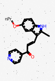 CCCOc1ccc2[nH]c(C)c(C=CC(=O)c3ccncc3)c2c1